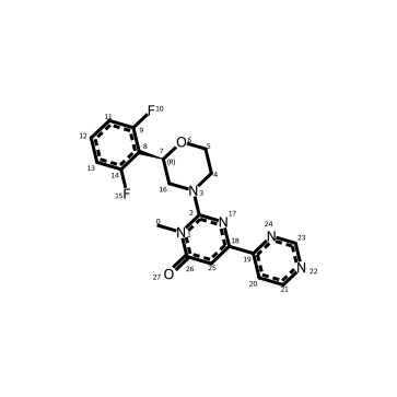 Cn1c(N2CCO[C@H](c3c(F)cccc3F)C2)nc(-c2ccncn2)cc1=O